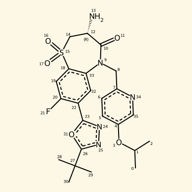 CC(C)Oc1ccc(CN2C(=O)[C@@H](N)CS(=O)(=O)c3cc(F)c(-c4nnc(C(C)(C)C)o4)cc32)nc1